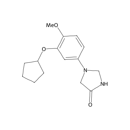 COc1ccc(N2CNC(=O)C2)cc1OC1CCCC1